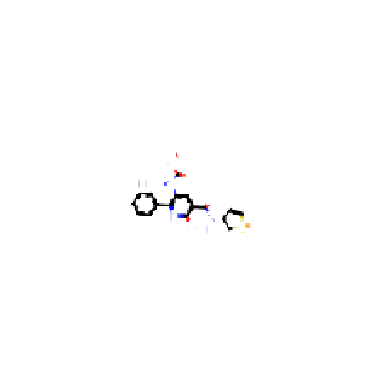 CN(C(=O)OC(C)(C)C)c1cc(C(=O)N[C@@H]2C=CS(=O)(=O)C2)c(=O)[nH]c1-c1ccccc1